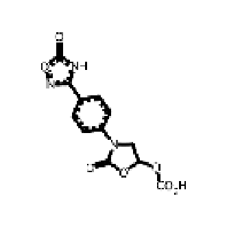 O=C(O)OC1CN(c2ccc(-c3noc(=O)[nH]3)cc2)C(=O)O1